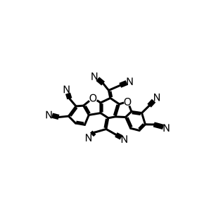 N#CC(C#N)=c1c2oc3c(C#N)c(C#N)ccc3c2c(=C(C#N)C#N)c2c1oc1c(C#N)c(C#N)ccc12